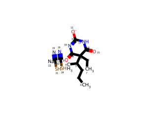 CCCC(C)C1(CC)C(=O)N=C([O-])NC1=O.N#CS.N#CS.[Na+]